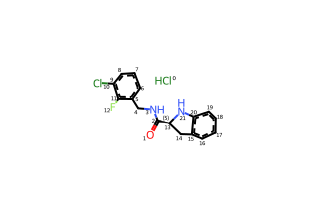 Cl.O=C(NCc1cccc(Cl)c1F)[C@@H]1Cc2ccccc2N1